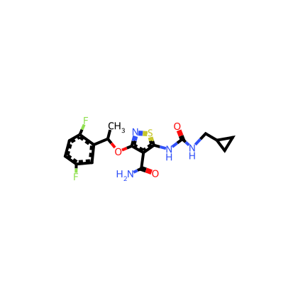 CC(Oc1nsc(NC(=O)NCC2CC2)c1C(N)=O)c1cc(F)ccc1F